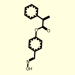 C=C(C(=O)Oc1ccc(C=NO)cc1)c1ccccc1